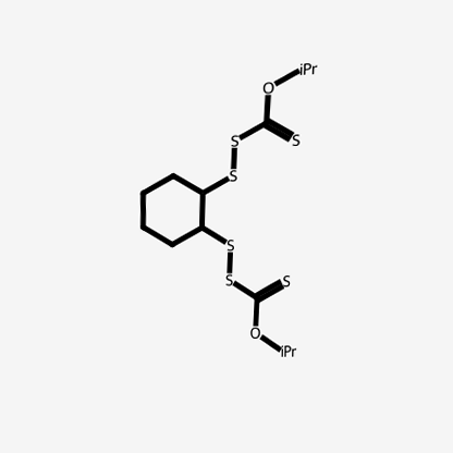 CC(C)OC(=S)SSC1CCCCC1SSC(=S)OC(C)C